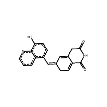 O=C1CC2=CC(=Cc3ccc(O)c4ncccc34)CC=C2C(=O)N1